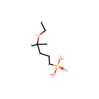 CCOC(C)(C)CCCP(=O)(O)O